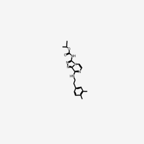 Cc1ccc(CCNc2nccn3c(NC(=O)OC(C)C)nnc23)cc1C